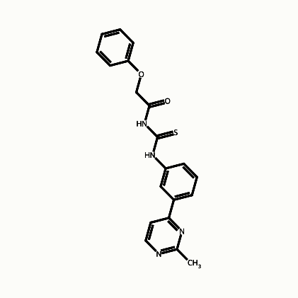 Cc1nccc(-c2cccc(NC(=S)NC(=O)COc3ccccc3)c2)n1